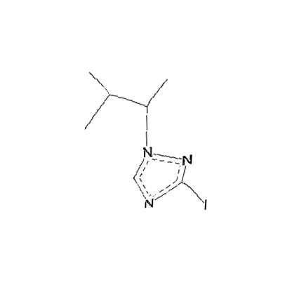 CC(C)C(C)n1cnc(I)n1